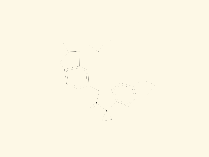 CC(C)(C)C1Cc2ccc(NC(=O)C3(c4ccc5c(c4)OCO5)CC3)cc2N1CCC#N